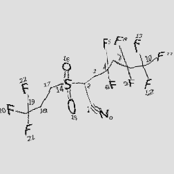 N#CC(CC(F)(F)C(F)(F)C(F)(F)F)S(=O)(=O)CCC(F)(F)F